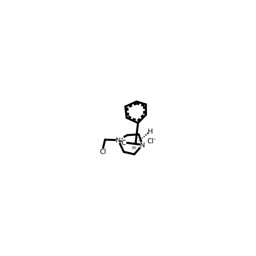 ClC[N+]12CCN(CC1)[C@H](c1ccccc1)C2.[Cl-]